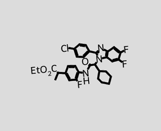 CCOC(=O)C(C)c1ccc(NC(=O)C(C2CCCCC2)n2c(-c3ccc(Cl)cc3)nc3cc(F)c(F)cc32)c(F)c1